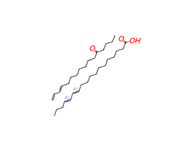 C=CC=CCCCCCCCC(=O)CCCC.CCC/C=C/C=C/CCCCCCCCCCC(=O)O